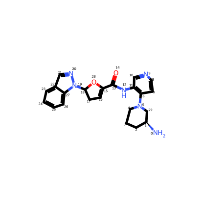 N[C@H]1CCCN(c2ccncc2NC(=O)C2=CCC(n3ncc4ccccc43)O2)C1